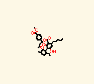 CCCCCc1cc(O)c(-c2cc(C)ccc2CC)c2c1C(=O)OC(CC(C)=O)(c1ccc(C(=O)OC)cc1)O2